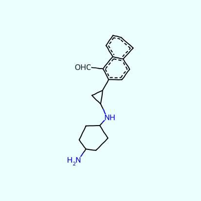 NC1CCC(NC2CC2c2ccc3ccccc3c2C=O)CC1